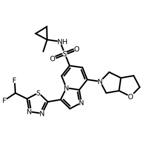 CC1(NS(=O)(=O)c2cc(N3CC4CCOC4C3)c3ncc(-c4nnc(C(F)F)s4)n3c2)CC1